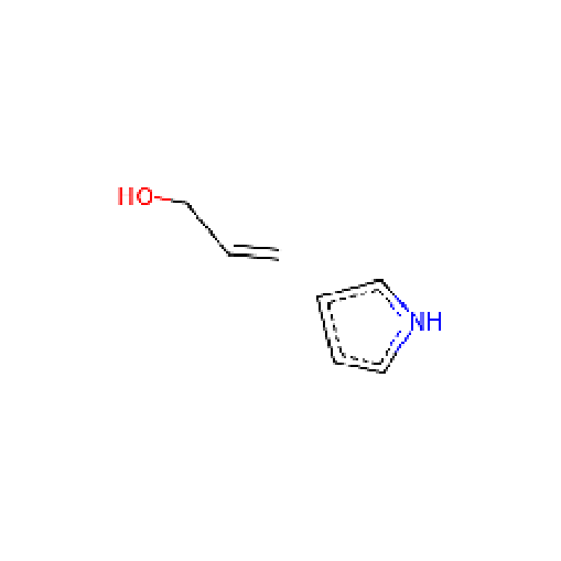 C=CCO.c1cc[nH]c1